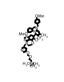 COc1ccc(CN(Cc2ccc(OC)cc2)c2cc(C)c(C(F)(F)F)c(-c3cc4ncnc5c4c(c3Cl)OCCN5Cc3cncc(OCOCC[Si](C)(C)C)c3)n2)cc1